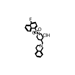 Cl.O=S(=O)(c1ccc(F)c2ccccc12)N1CCC(CN2CCc3ccccc3C2)CC1